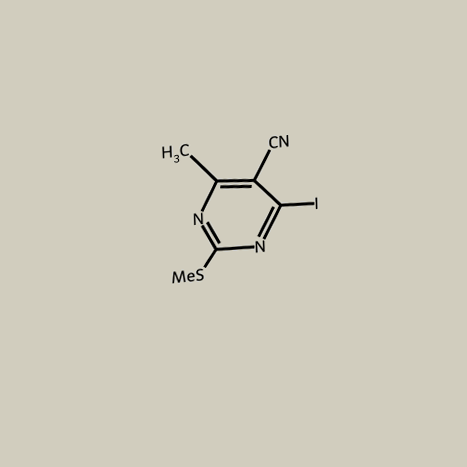 CSc1nc(C)c(C#N)c(I)n1